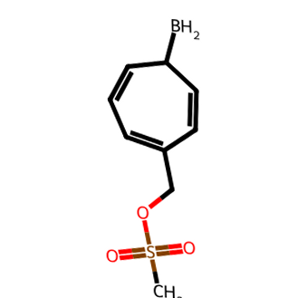 BC1C=CC=C(COS(C)(=O)=O)C=C1